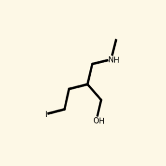 CNCC(CO)CCI